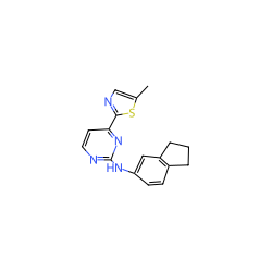 Cc1cnc(-c2ccnc(Nc3ccc4c(c3)CCC4)n2)s1